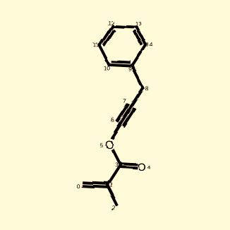 C=C(C)C(=O)OC#CCc1ccccc1